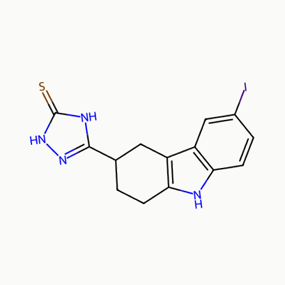 S=c1[nH]nc(C2CCc3[nH]c4ccc(I)cc4c3C2)[nH]1